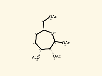 CC(=O)OC[C@@H]1CC[C@@H](OC(C)=O)[C@@H](OC(C)=O)C(OC(C)=O)O1